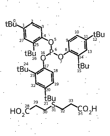 CC(C)(C)c1ccc(OP(Oc2ccc(C(C)(C)C)cc2C(C)(C)C)Oc2ccc(C(C)(C)C)cc2C(C)(C)C)c(C(C)(C)C)c1.O=C(O)CCSCCC(=O)O